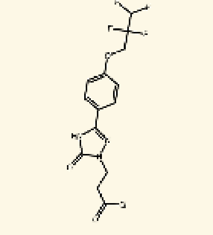 O=C(Cl)CCn1nc(-c2ccc(OCC(F)(F)C(F)F)cc2)[nH]c1=O